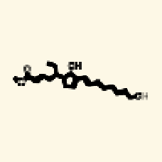 CCC(CC=CC(=O)OC)C1CC=C(/C=C/CCCCCCO)[C@H]1O